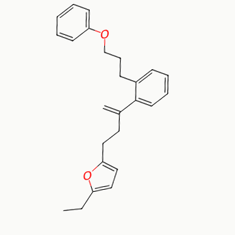 C=C(CCc1ccc(CC)o1)c1ccccc1CCCOc1ccccc1